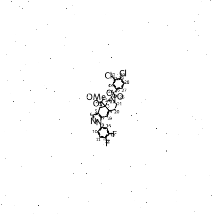 COC(=O)C12Cc3cnn(-c4ccc(F)c(F)c4)c3C=C1CCN(S(=O)(=O)c1ccc(Cl)c(Cl)c1)C2